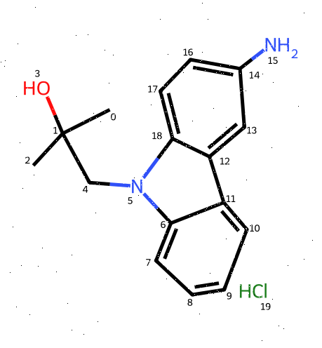 CC(C)(O)Cn1c2ccccc2c2cc(N)ccc21.Cl